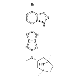 CN(c1nc2sc(-c3ccc(Br)c4cn[nH]c34)nc2s1)[C@H]1C[C@]2(C)CC[C@](C)(C1)N2